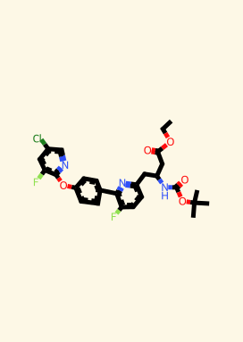 CCOC(=O)CC(Cc1ccc(F)c(-c2ccc(Oc3ncc(Cl)cc3F)cc2)n1)NC(=O)OC(C)(C)C